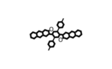 Cc1ccc(-c2c3oc4cc5cc6ccccc6cc5cc4c3c(-c3ccc(C)cc3)c3oc4cc5cc6ccccc6cc5cc4c23)cc1